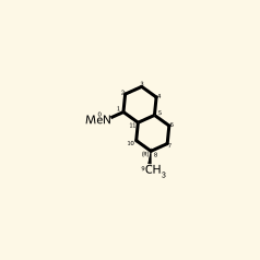 CNC1CCCC2CC[C@@H](C)CC21